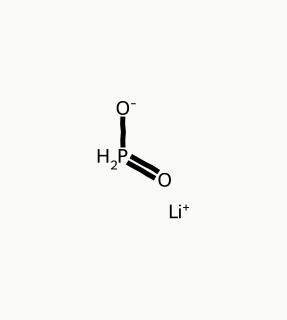 O=[PH2][O-].[Li+]